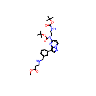 COC(=O)CCNCc1cccc(-c2cnn3ccc(N(CCNC(=O)OC(C)(C)C)C(=O)OC(C)(C)C)nc23)c1